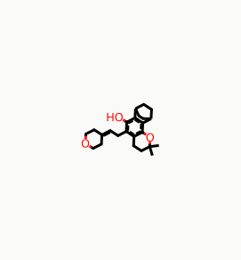 CC1(C)CCc2c(CC=C3CCOCC3)c(O)c3c(c2O1)C1CCC3CC1